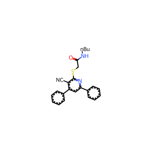 CCCCNC(=O)CSc1nc(-c2ccccc2)cc(-c2ccccc2)c1C#N